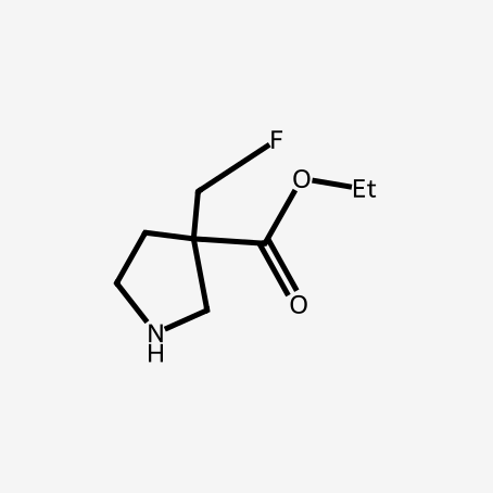 CCOC(=O)C1(CF)CCNC1